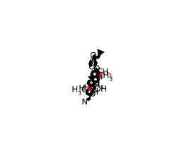 C[C@@H]1C[C@H](CC#N)O[C@H]2[C@H]1[C@@]1(C)CC[C@@]34CC35CCC(O[C@H]3CN(C(=O)CC6CC6)CCO3)C(C)(C)[C@@H]5CC[C@H]4[C@]1(C)[C@H]2O